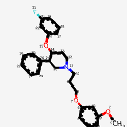 COc1cccc(OCCCN2CCC(Oc3cccc(F)c3)C(c3ccccc3)C2)c1